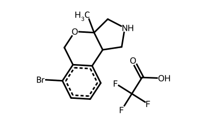 CC12CNCC1c1cccc(Br)c1CO2.O=C(O)C(F)(F)F